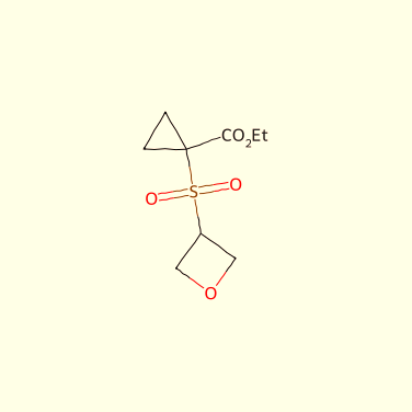 CCOC(=O)C1(S(=O)(=O)C2COC2)CC1